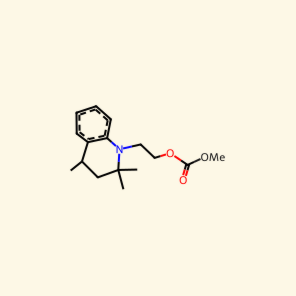 COC(=O)OCCN1c2ccccc2C(C)CC1(C)C